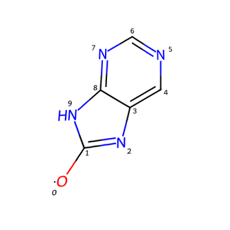 [O]c1nc2cncnc2[nH]1